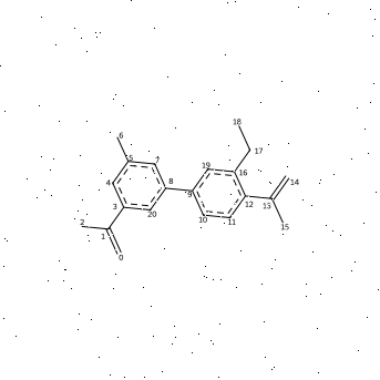 C=C(C)c1cc(C)cc(-c2ccc(C(=C)C)c(CC)c2)c1